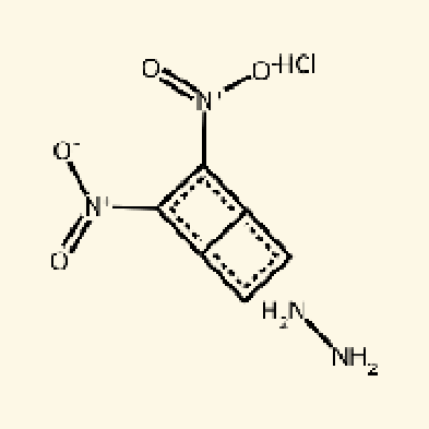 Cl.NN.O=[N+]([O-])c1c2ccc-2c1[N+](=O)[O-]